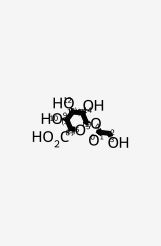 O=C(CO)O[C@@H]1O[C@H](C(=O)O)[C@@H](O)[C@H](O)[C@H]1O